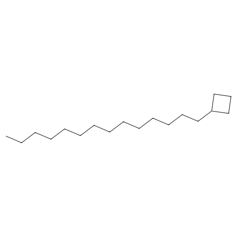 CCCCCCCCCCCCCCC1CCC1